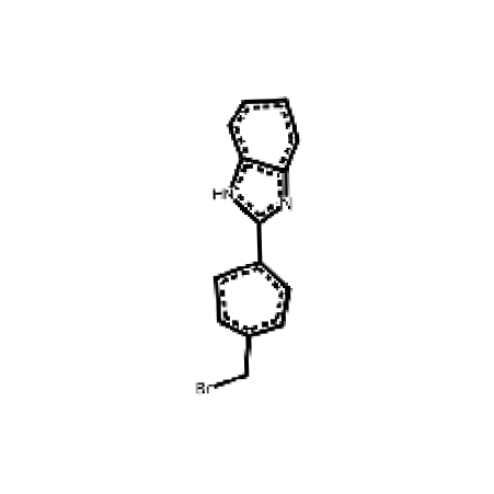 BrCc1ccc(-c2nc3ccccc3[nH]2)cc1